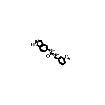 COc1cccc(CNC(=O)Nc2ccc3[nH]ncc3c2)c1